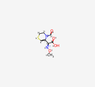 CO/N=C(\C(=O)O)C1=CSCCN1C=O